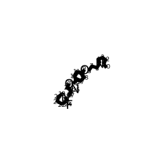 CC1CCCN1CCCOc1ccc(-c2nc(CN3CCCCC3F)co2)cc1